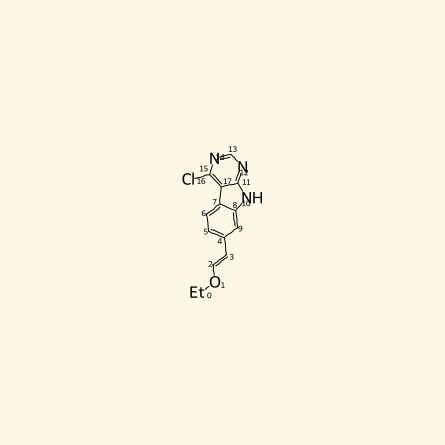 CCO/C=C/c1ccc2c(c1)[nH]c1ncnc(Cl)c12